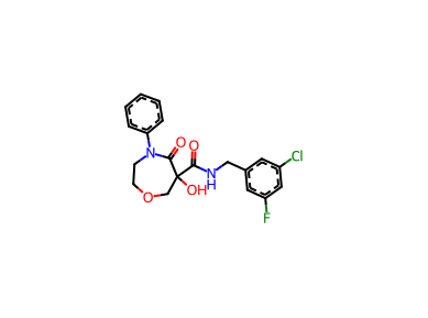 O=C(NCc1cc(F)cc(Cl)c1)C1(O)COCCN(c2ccccc2)C1=O